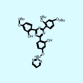 CCCCOc1ccc(-c2nc(-c3ccc(OCCCC)cc3O)nc(-c3ccc(OCCCC)cc3OCCCC)n2)c(O)c1.c1cnnnc1